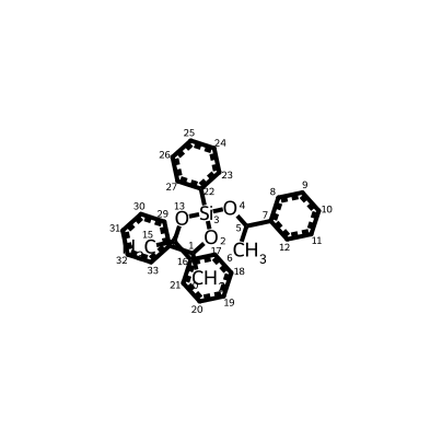 CC(O[Si](OC(C)c1ccccc1)(OC(C)c1ccccc1)c1ccccc1)c1ccccc1